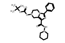 CC(C)(C)OC(=O)ON1CCn2c(-c3ccccc3)nc(C(=O)NN3CCCCC3)c2C1